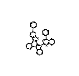 c1ccc(-c2ccc3c(c2)sc2c3c3ccccc3c3c4ccccc4n(-c4nc(-c5ccccc5)c5ccccc5n4)c23)cc1